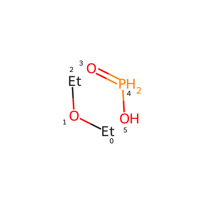 CCOCC.O=[PH2]O